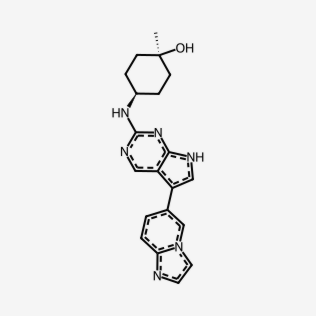 C[C@]1(O)CC[C@@H](Nc2ncc3c(-c4ccc5nccn5c4)c[nH]c3n2)CC1